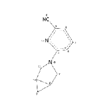 N#Cc1cccc(N2CC3CC3C2)n1